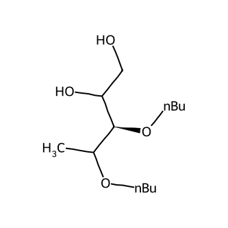 CCCCOC(C)[C@H](OCCCC)C(O)CO